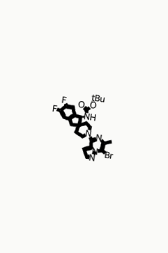 Cc1nc(N2CCC3(CC2)Cc2cc(F)c(F)cc2[C@H]3NC(=O)OC(C)(C)C)c2ccnn2c1Br